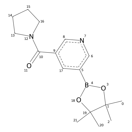 CC1(C)OB(c2cncc(C(=O)N3CCCC3)c2)OC1(C)C